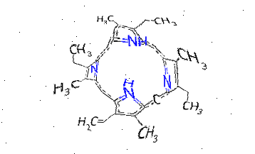 C=Cc1c(C)c2cc3nc(cc4[nH]c(cc5nc(cc1[nH]2)C(C)=C5CC)c(C)c4CC)C(C)=C3CC